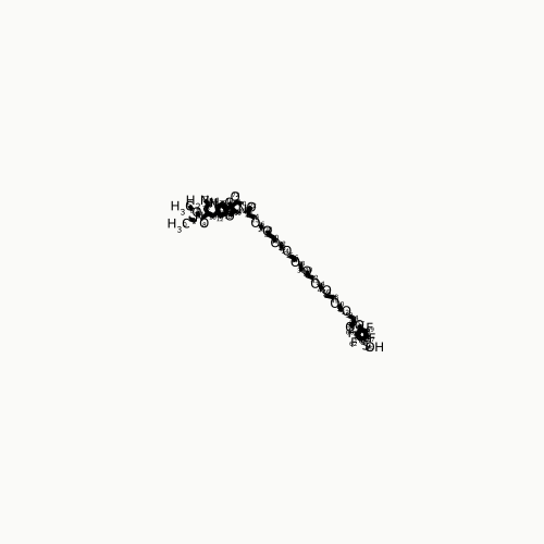 CCCN(OCC)C(=O)C1=Cc2ccc(C3(C)C(=O)CN(C(=O)CCOCCOCCOCCOCCOCCOCCOCCOCCOCCOCCC(=O)Oc4c(F)c(F)c(SO)c(F)c4F)CC3=O)cc2N=C(N)C1